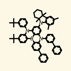 Cc1cc(C)c2c(c1)C1(C)CCCCC1(C)N2c1cc2c3c(c1)N(c1cccc(C(C)(C)C)c1)c1cc(C(C)(C)C)ccc1B3c1ccc(-c3ccccc3)cc1N2c1cccc(-c2ccccc2)c1